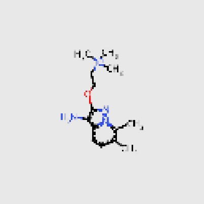 Cc1ccc2c(N)c(OCC[N+](C)(C)C)nn2c1C